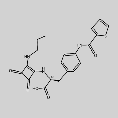 CCCNc1c(N[C@@H](Cc2ccc(NC(=O)c3cccs3)cc2)C(=O)O)c(=O)c1=O